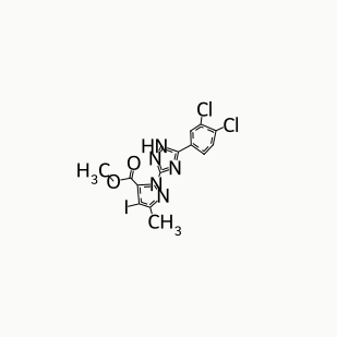 COC(=O)c1c(I)c(C)nn1-c1n[nH]c(-c2ccc(Cl)c(Cl)c2)n1